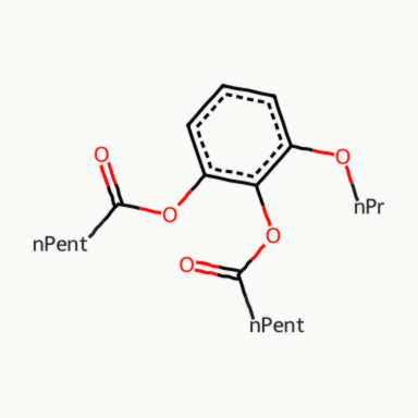 CCCCCC(=O)Oc1cccc(OCCC)c1OC(=O)CCCCC